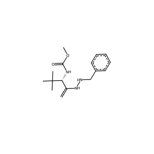 C=C(NNCc1ccccc1)[C@@H](NC(=O)OC)C(C)(C)C